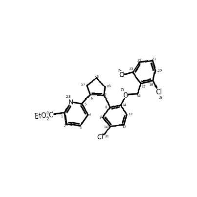 CCOC(=O)c1cccc(C2=C(c3cc(Cl)ccc3OCc3c(Cl)cccc3Cl)CCC2)n1